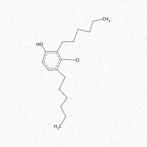 CCCCCCc1ccc(O)c(CCCCCC)c1Cl